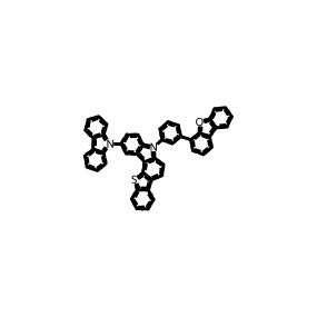 c1cc(-c2cccc3c2oc2ccccc23)cc(-n2c3ccc(-n4c5ccccc5c5ccccc54)cc3c3c4sc5ccccc5c4ccc32)c1